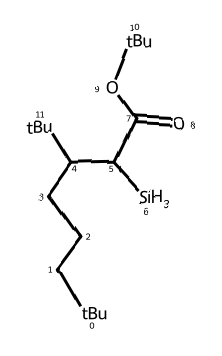 CC(C)(C)CCCC(C([SiH3])C(=O)OC(C)(C)C)C(C)(C)C